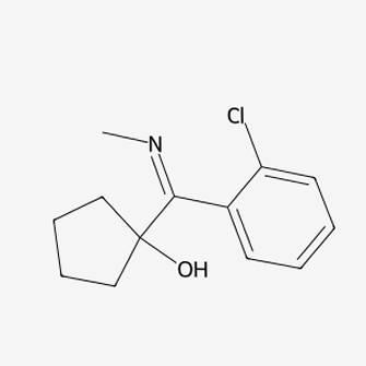 C/N=C(/c1ccccc1Cl)C1(O)CCCC1